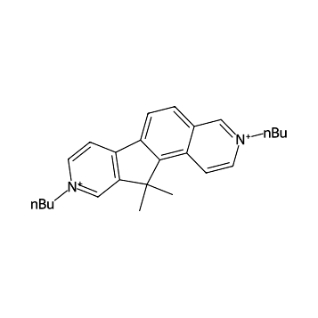 CCCC[n+]1ccc2c(c1)C(C)(C)c1c-2ccc2c[n+](CCCC)ccc12